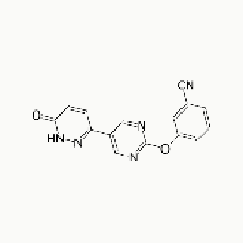 N#Cc1cccc(Oc2ncc(-c3ccc(=O)[nH]n3)cn2)c1